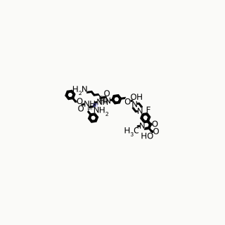 CCn1cc(C(=O)O)c(=O)c2cc(F)c(N3CCN(C(O)OCc4ccc(NC(=O)[C@H](CCCCN)N/C=C(\N)[C@H](Cc5ccccc5)NC(=O)OCc5ccccc5)cc4)CC3)cc21